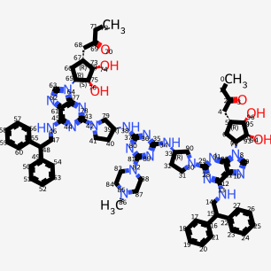 CCC(=O)C[C@H]1C[C@@H](n2cnc3c(NCC(c4ccccc4)c4ccccc4)nc(N4CC[C@@H](Nc5nc(N[C@@H]6CCN(c7nc(NCC(c8ccccc8)c8ccccc8)c8ncn([C@@H]9C[C@H](CC(=O)CC)[C@@H](O)[C@H]9O)c8n7)C6)nc(N6CCN(C)CC6)n5)C4)nc32)[C@H](O)[C@@H]1O